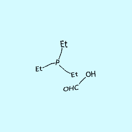 CCP(CC)CC.O=CO